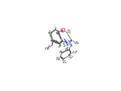 Ic1ccc2c(c1)N(c1ccccc1)CCO2